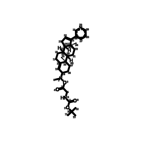 CN(OC(=O)CNC(=O)OC(C)(C)C)C1C=C2CC[C@H]3[C@H](CC[C@]4(C)C(c5cccnc5)=CC[C@@H]34)[C@@]2(C)CC1